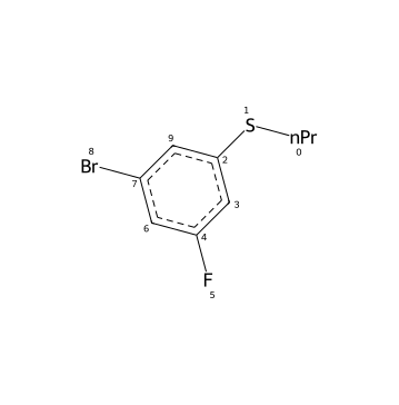 CCCSc1cc(F)cc(Br)c1